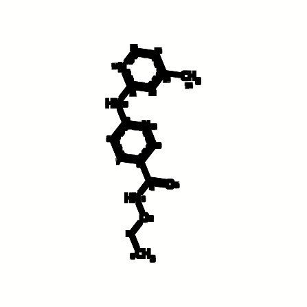 CCONC(=O)c1ccc(Nc2cc(C)ccn2)nc1